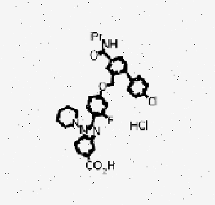 CC(C)NC(=O)c1ccc(-c2ccc(Cl)cc2)c(COc2ccc(-c3nc4cc(C(=O)O)ccc4n3N3CCCCC3)c(F)c2)c1.Cl